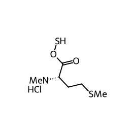 CN[C@@H](CCSC)C(=O)OS.Cl